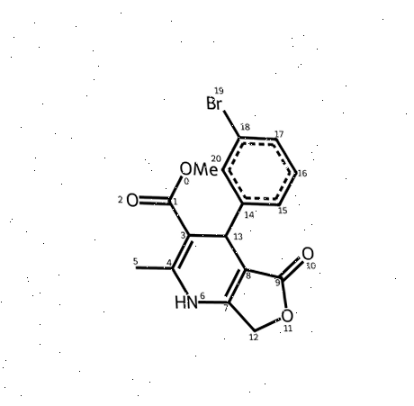 COC(=O)C1=C(C)NC2=C(C(=O)OC2)C1c1cccc(Br)c1